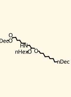 CCCCCCCCCCCCCCCCCCOCC(CNCCCCCC(=O)OCCCCCCCCCC)OCCCCCC